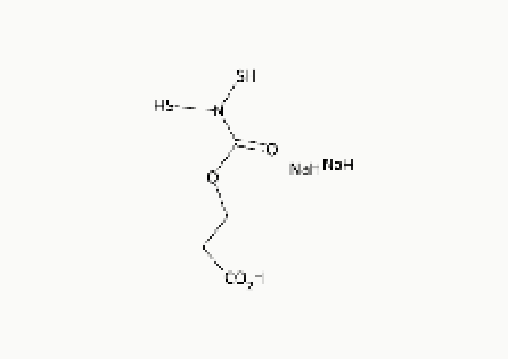 O=C(O)CCOC(=O)N(S)S.[NaH].[NaH]